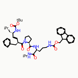 CC(C)C[C@@H](/C=C/[C@H](Cc1ccccc1)C(=O)N1CCC[C@H]1C(=O)N[C@@H](CCCNC(=O)OCC1c2ccccc2-c2ccccc21)C(=O)NC(C)C)NC(=O)OC(C)(C)C